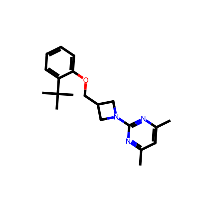 Cc1cc(C)nc(N2CC(COc3ccccc3C(C)(C)C)C2)n1